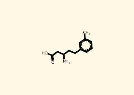 Cc1cccc(CCC(N)CC(=O)O)c1